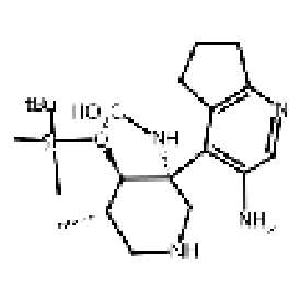 C[C@H]1CNC[C@](NC(=O)O)(c2c(N)cnc3c2CCC3)[C@@H]1O[Si](C)(C)C(C)(C)C